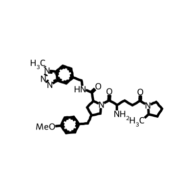 COc1ccc(CC2CC(C(=O)NCc3ccc4c(c3)nnn4C)N(C(=O)C(N)CCC(=O)N3CCCC3C)C2)cc1